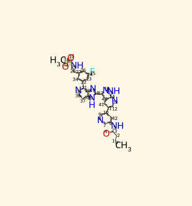 CCCC(=O)Nc1cncc(-c2cnc3[nH]nc(-c4nc5c(-c6cc(F)cc(CNS(C)(=O)=O)c6)nccc5[nH]4)c3c2)c1